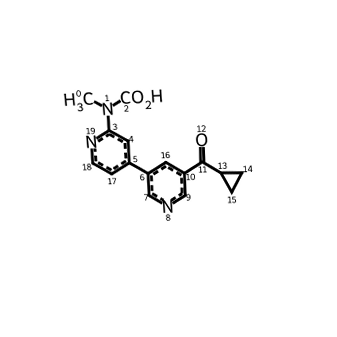 CN(C(=O)O)c1cc(-c2cncc(C(=O)C3CC3)c2)ccn1